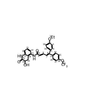 CCOc1ccc(/C(=C\C=C\C(=O)Nc2cccc3c2CC(O)C(=O)N3)c2ccc(OC(F)(F)F)cc2)cc1